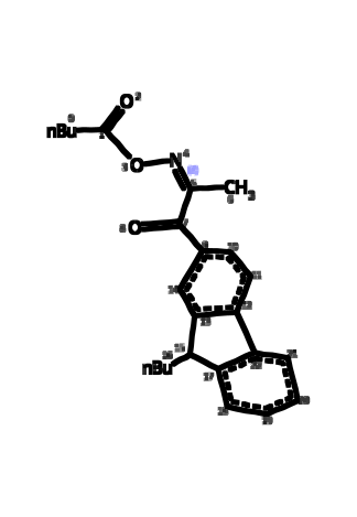 CCCCC(=O)O/N=C(/C)C(=O)c1ccc2c(c1)C(CCCC)c1ccccc1-2